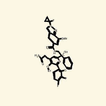 CCOc1c(CC(N)=O)cc([C@@](O)(CNC(=O)c2cc(OC)c3nn(C4(F)CC4)cc3c2)c2ccccc2)nc1-c1ccc(F)c(F)c1Cl